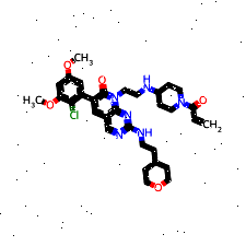 C=CC(=O)N1CCC(NCCn2c(=O)c(-c3cc(OC)cc(OC)c3Cl)cc3cnc(NCCC4CCOCC4)nc32)CC1